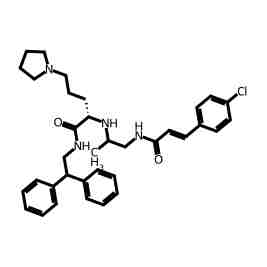 CC(CNC(=O)/C=C/c1ccc(Cl)cc1)N[C@@H](CCCN1CCCC1)C(=O)NCC(c1ccccc1)c1ccccc1